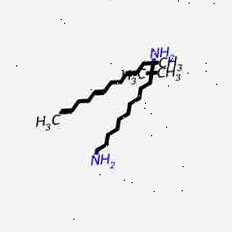 CC=CCCC=CCCC=CCC(C)(N)C(C)(C)CCCCCCCCCCN